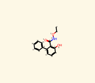 CCONC(=O)c1c(O)cccc1-c1ccccc1